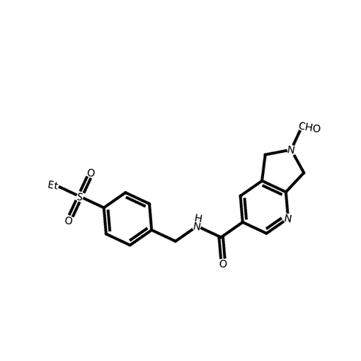 CCS(=O)(=O)c1ccc(CNC(=O)c2cnc3c(c2)CN(C=O)C3)cc1